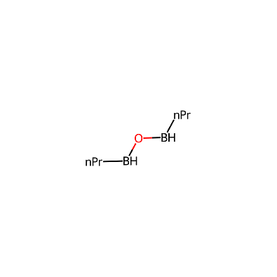 CCCBOBCCC